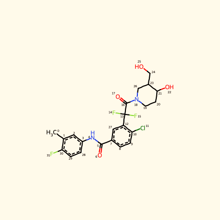 Cc1cc(NC(=O)c2ccc(Cl)c(C(F)(F)C(=O)N3CCC(O)C(CO)C3)c2)ccc1F